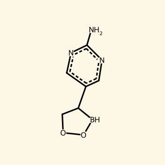 Nc1ncc(C2BOOC2)cn1